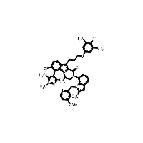 COc1ccnc(Cn2c(C(=O)O)cc3cccc(N4CC(C)n5c(c(CCCOc6cc(C)c(Cl)c(C)c6)c6ccc(Cl)c(-c7c(C)nn(C)c7C)c65)C4=O)c32)c1